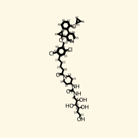 O=C(NC[C@@H](O)[C@H](O)[C@@H](O)CCO)NC1CCN(C(=O)CCCCc2cc(Cl)c(COC3(c4cnccc4-c4ccccc4OC4CC4)CC3)cc2Cl)CC1